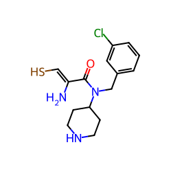 N/C(=C\S)C(=O)N(Cc1cccc(Cl)c1)C1CCNCC1